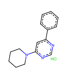 Cl.c1ccc(-c2cc(N3CCCCC3)ncn2)cc1